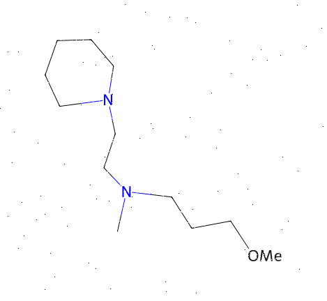 COCCCN(C)CCN1CCCCC1